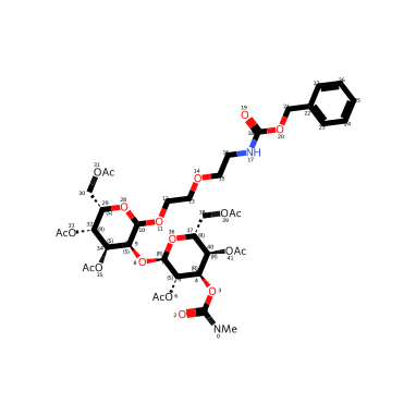 CNC(=O)O[C@H]1[C@H](OC(C)=O)[C@@H](O[C@@H]2C(OCCOCCNC(=O)OCc3ccccc3)O[C@@H](COC(C)=O)[C@@H](OC(C)=O)[C@@H]2OC(C)=O)O[C@H](COC(C)=O)[C@H]1OC(C)=O